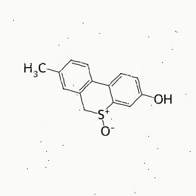 Cc1ccc2c(c1)C[S+]([O-])c1cc(O)ccc1-2